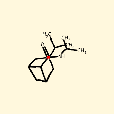 CC(C)NC(=O)C1C2CC1CN(C(C)C)C2